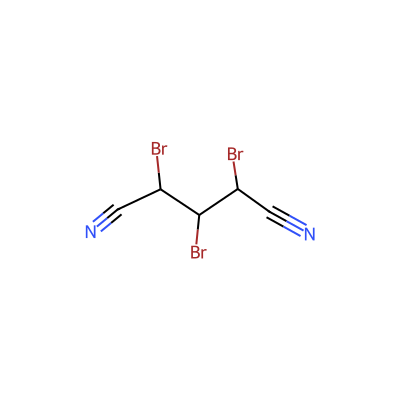 N#CC(Br)C(Br)C(Br)C#N